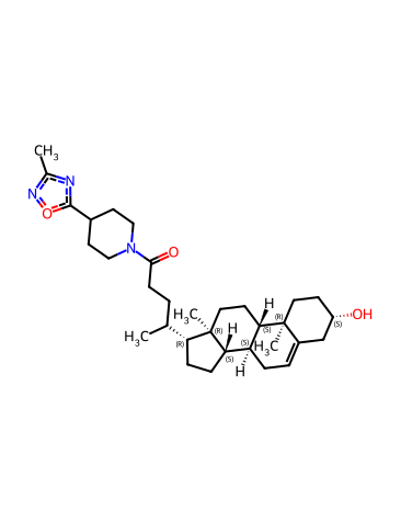 Cc1noc(C2CCN(C(=O)CCC(C)[C@H]3CC[C@H]4[C@@H]5CC=C6C[C@@H](O)CC[C@]6(C)[C@H]5CC[C@]34C)CC2)n1